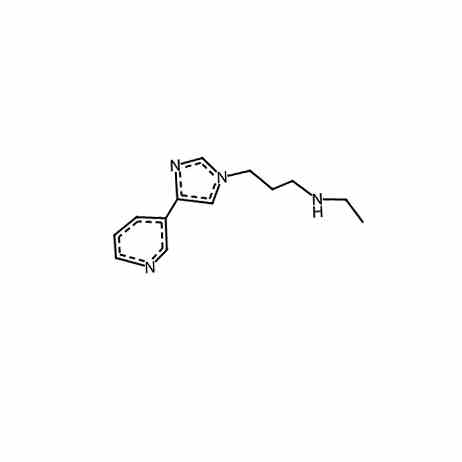 CCNCCCn1cnc(-c2cccnc2)c1